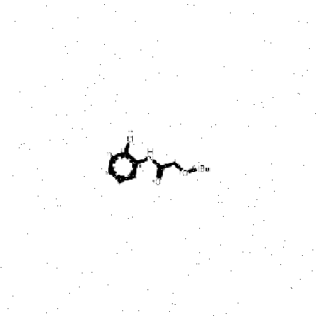 CC(C)(C)OCC(=O)Nc1ccccc1Cl